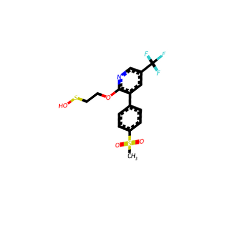 CS(=O)(=O)c1ccc(-c2cc(C(F)(F)F)cnc2OCCSO)cc1